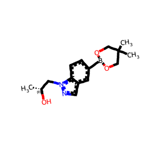 C[C@@H](O)Cn1ncc2cc(B3OCC(C)(C)CO3)ccc21